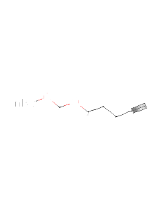 C#CCCCOCOCCCC